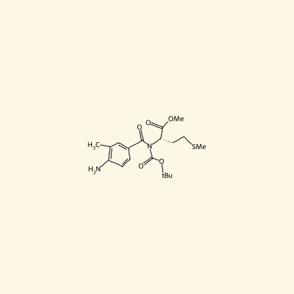 COC(=O)[C@H](CCSC)N(C(=O)OC(C)(C)C)C(=O)c1ccc(N)c(C)c1